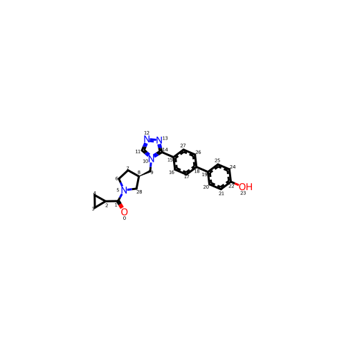 O=C(C1CC1)N1CC[C@@H](Cn2cnnc2-c2ccc(-c3ccc(O)cc3)cc2)C1